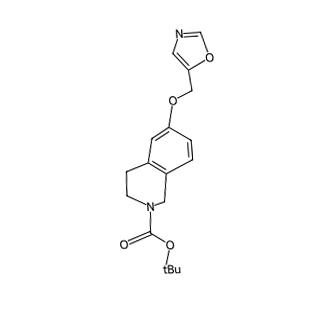 CC(C)(C)OC(=O)N1CCc2cc(OCc3cnco3)ccc2C1